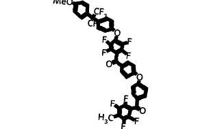 COc1ccc(C(C)(c2ccc(Oc3c(F)c(F)c(C(=O)c4ccc(Oc5ccc(C(=O)c6c(F)c(F)c(C)c(F)c6F)cc5)cc4)c(F)c3F)cc2)C(F)(F)F)cc1